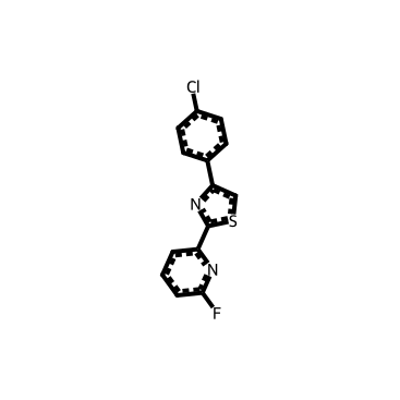 Fc1cccc(-c2nc(-c3ccc(Cl)cc3)cs2)n1